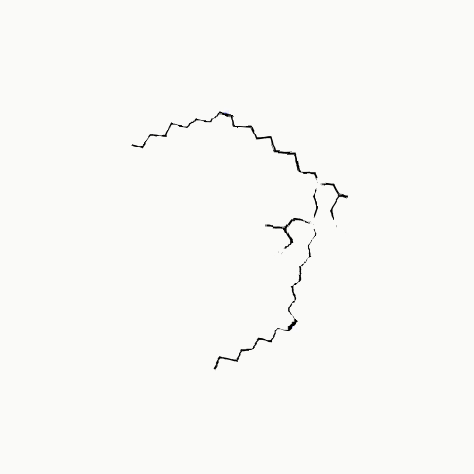 CCCCCCCC/C=C\CCCCCCCCN(CCN(CCCCCCCC/C=C\CCCCCCCC)CC(C)CN)CC(C)CN